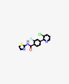 O=C(Nc1nccs1)c1ccc(-c2ncccc2Cl)cc1F